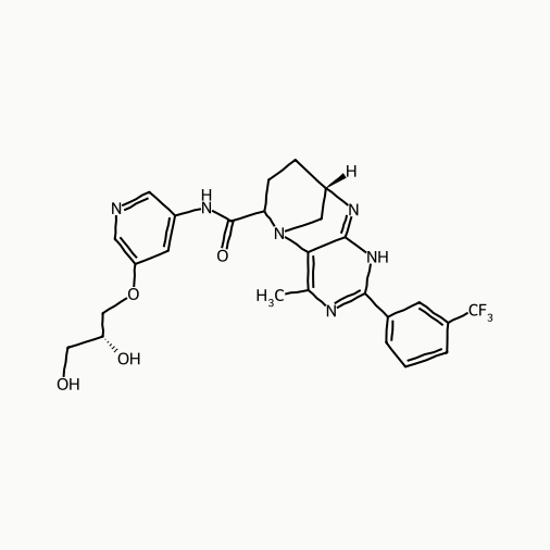 CC1=C2C(=N[C@H]3CCC(C(=O)Nc4cncc(OC[C@H](O)CO)c4)N2C3)NC(c2cccc(C(F)(F)F)c2)=N1